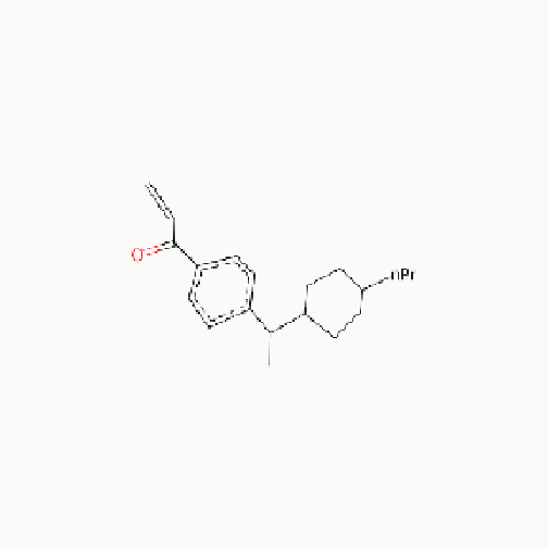 C=CC(=O)c1ccc(C(C)C2CCC(CCC)CC2)cc1